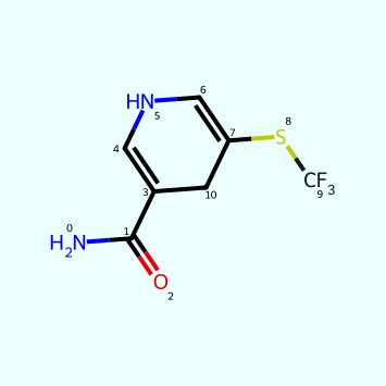 NC(=O)C1=CNC=C(SC(F)(F)F)C1